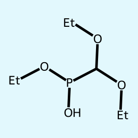 CCOC(OCC)P(O)OCC